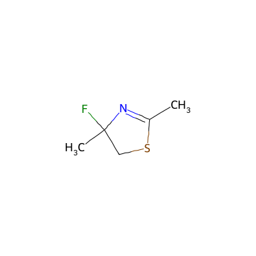 CC1=NC(C)(F)CS1